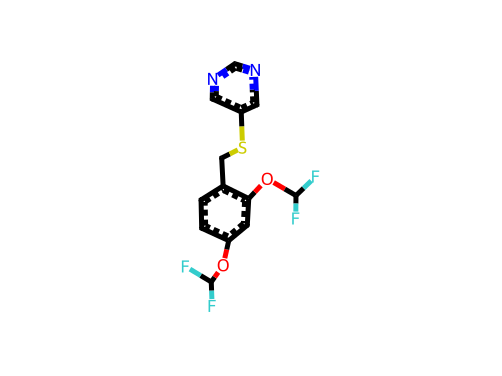 FC(F)Oc1ccc(CSc2cncnc2)c(OC(F)F)c1